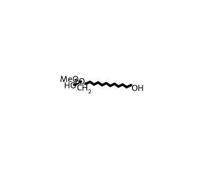 C=P(O)(OC)OCCCCCCCCCCCCO